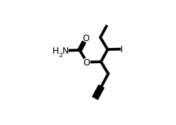 C#CCC(OC(N)=O)C(I)CC